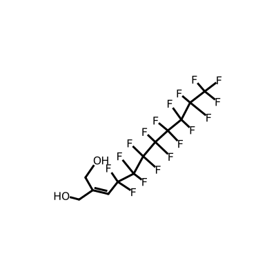 OCC(=CC(F)(F)C(F)(F)C(F)(F)C(F)(F)C(F)(F)C(F)(F)C(F)(F)C(F)(F)F)CO